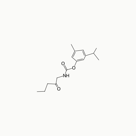 CCCC(=O)CNC(=O)Oc1cc(C)cc(C(C)C)c1